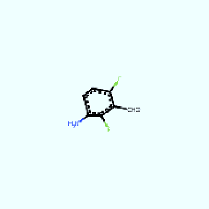 Nc1ccc(F)c(C=O)c1F